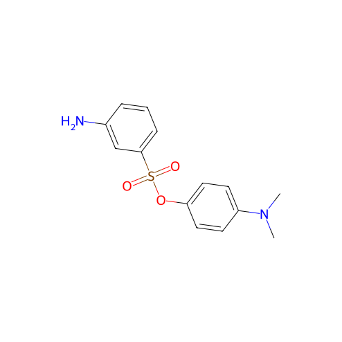 CN(C)c1ccc(OS(=O)(=O)c2cccc(N)c2)cc1